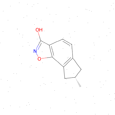 C[C@H]1Cc2ccc3c(O)noc3c2C1